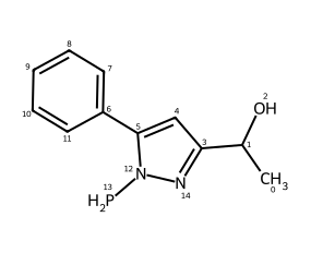 CC(O)c1cc(-c2ccccc2)n(P)n1